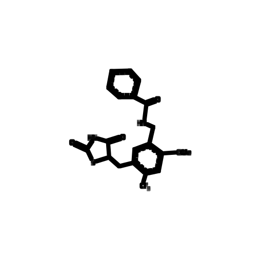 COc1cc(C(F)(F)F)c(CC2SC(=O)NC2=O)cc1CNC(=O)c1ccccc1